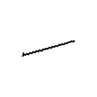 CCCCCCCCCCCCCCCCCCCCCCCCCCCCCCCCC(C)C